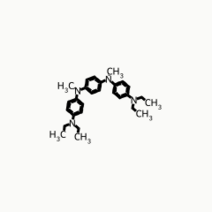 CCN(CC)c1ccc(N(C)c2ccc(N(C)c3ccc(N(CC)CC)cc3)cc2)cc1